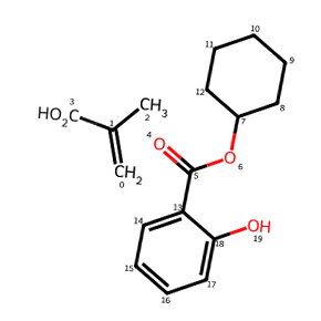 C=C(C)C(=O)O.O=C(OC1CCCCC1)c1ccccc1O